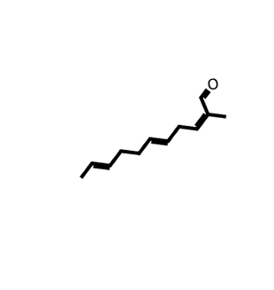 CC=CCCC=CCC=C(C)C=O